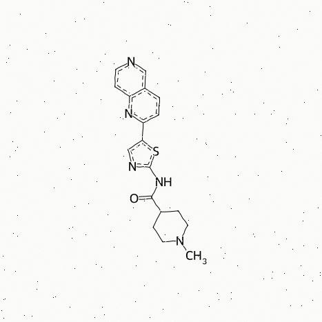 CN1CCC(C(=O)Nc2ncc(-c3ccc4cnccc4n3)s2)CC1